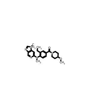 CCc1cc(C(=O)N2CCC(OC)CC2)ccc1N(C)c1cc2c(cn1)ncn2C